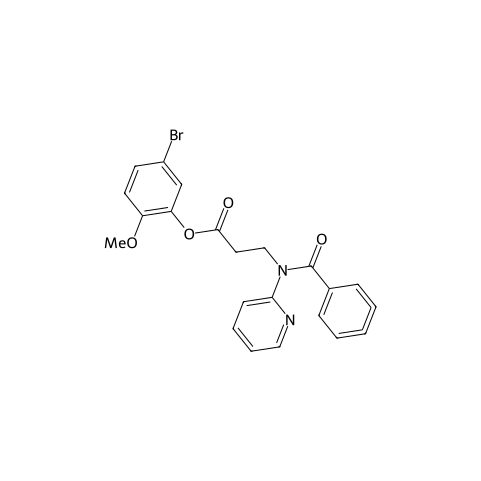 COc1ccc(Br)cc1OC(=O)CCN(C(=O)C1=CC=C=C=C1)c1ccccn1